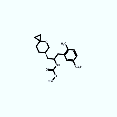 Cc1ccc(S(=O)(=O)O)cc1CC(C[C@H]1CCC2(CC2)OC1)NC(=O)OC(C)(C)C